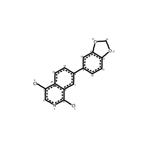 Clc1cnc(Cl)c2cc(-c3ccc4c(c3)OCO4)ccc12